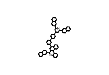 c1cc(-c2ccc(-c3cc(-c4ccc5ccccc5c4)nc(-c4ccc5ccccc5c4)n3)cc2)cc(-c2cc3c(-c4ccc5ccccc5c4)nc4ccccc4c3c3ccccc23)c1